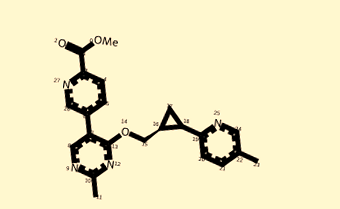 COC(=O)c1ccc(-c2cnc(C)nc2OC[C@H]2CC2c2ccc(C)cn2)cn1